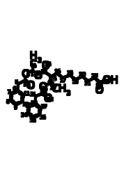 CC(OC(=O)Cc1ccccc1)OC(=O)C(CCCCCCCC(=O)O)C(C)OC(=O)Cc1ccccc1